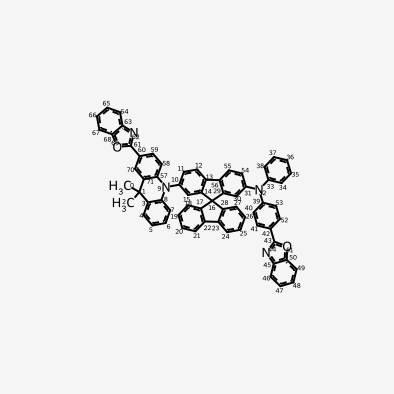 CC1(C)c2ccccc2N(c2ccc3c(c2)C2(c4ccccc4-c4ccccc42)c2cc(N(c4ccccc4)c4ccc(-c5nc6ccccc6o5)cc4)ccc2-3)c2ccc(-c3nc4ccccc4o3)cc21